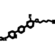 CCCCCCCCc1ccc(-c2ccc(-c3ccc(OCCCCC(C)CC)c(F)c3)cc2)nc1